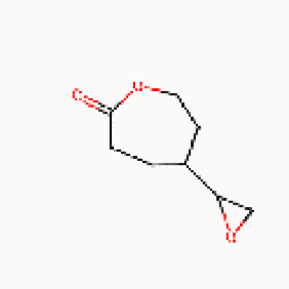 O=C1CCC(C2CO2)CCO1